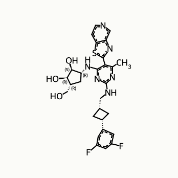 Cc1nc(NC[C@H]2C[C@@H](c3cc(F)cc(F)c3)C2)nc(N[C@@H]2C[C@H](CO)[C@@H](O)[C@H]2O)c1-c1nc2cnccc2s1